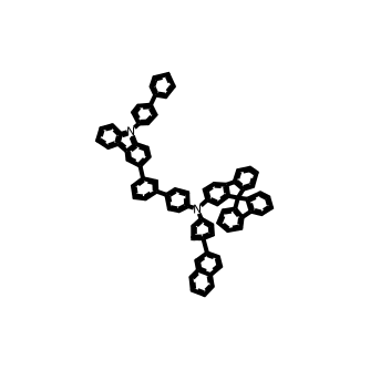 c1ccc(-c2ccc(-n3c4ccccc4c4cc(-c5cccc(-c6ccc(N(c7ccc(-c8ccc9ccccc9c8)cc7)c7ccc8c(c7)C7(c9ccccc9-c9ccccc97)c7ccccc7-8)cc6)c5)ccc43)cc2)cc1